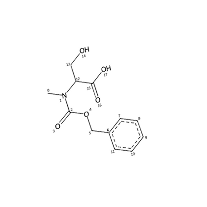 CN(C(=O)OCc1ccccc1)C(CO)C(=O)O